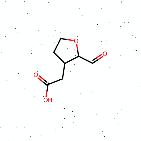 O=CC1OCCC1CC(=O)O